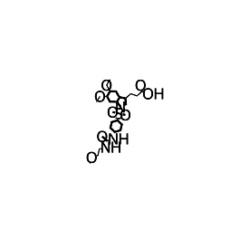 COCCNC(=O)Nc1ccc(S(=O)(=O)n2cc(CCC(=O)O)c3cc(OC)c(OC)cc32)cc1